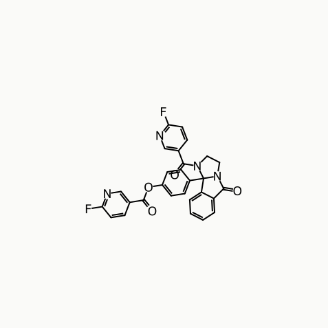 O=C(Oc1ccc(C23c4ccccc4C(=O)N2CCN3C(=O)c2ccc(F)nc2)cc1)c1ccc(F)nc1